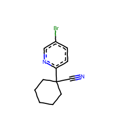 N#CC1(c2ccc(Br)cn2)CCCCC1